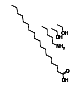 CCCCCCCCCCCCCCCCCC(=O)O.CCCCCN.CCO.CCO